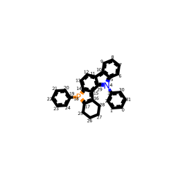 c1ccc(-n2c3ccccc3c3ccc4c(c5c(p4-c4ccccc4)CCCC5)c32)cc1